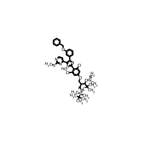 CSc1nccc(-c2c(-c3cccc(OCc4ccccc4)c3)nc(-c3c(Cl)cc(OCC(CO[Si](C)(C)C(C)(C)C)C(O[SiH](C)C)C(C)(C)C)cc3Cl)n2O)n1